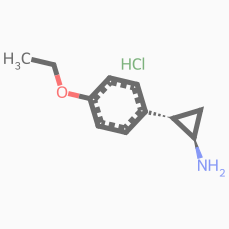 CCOc1ccc([C@@H]2C[C@H]2N)cc1.Cl